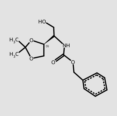 CC1(C)OC[C@H](C(CO)NC(=O)OCc2ccccc2)O1